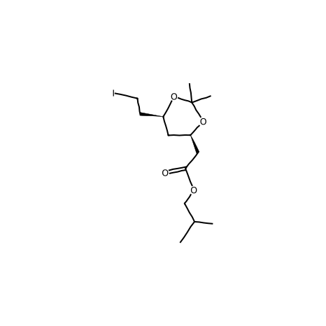 CC(C)COC(=O)C[C@H]1C[C@@H](CCI)OC(C)(C)O1